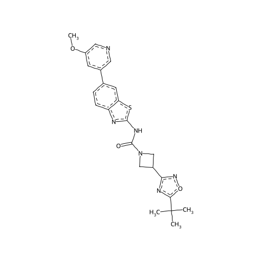 COc1cncc(-c2ccc3nc(NC(=O)N4CC(c5noc(C(C)(C)C)n5)C4)sc3c2)c1